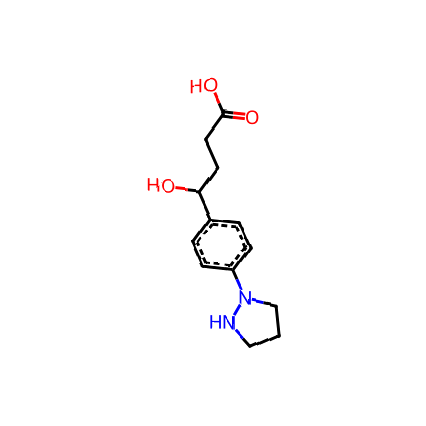 O=C(O)CCC(O)c1ccc(N2CCCN2)cc1